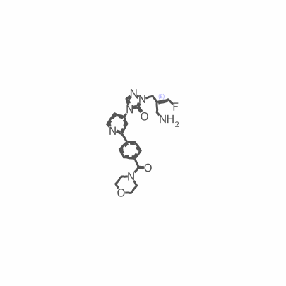 NC/C(=C\F)Cn1ncn(-c2ccnc(-c3ccc(C(=O)N4CCOCC4)cc3)c2)c1=O